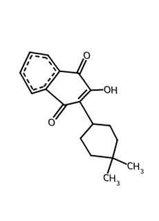 CC1(C)CCC(C2=C(O)C(=O)c3ccccc3C2=O)CC1